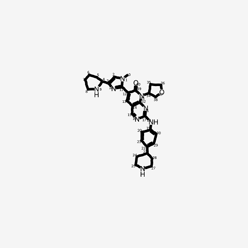 Cn1cc(C2CCCCN2)nc1-c1cc2cnc(Nc3ccc(C4CCNCC4)cc3)nc2n(C2CCOC2)c1=O